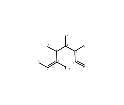 C=CC(C)C(C)C(C)/C(F)=C\C